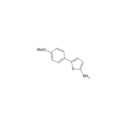 COc1ccc(-c2ccc(N)s2)cc1